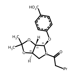 CC(C)CC(=O)N1C[C@H]2OC(C)(C)O[C@@H]2[C@H]1Oc1ccc(C(=O)O)cc1